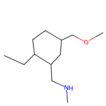 CCC1CCC(COC)CC1CNC